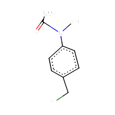 CNC(=O)N(C)c1ccc(CCl)cc1